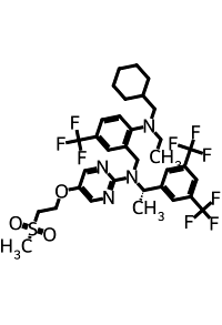 CCN(CC1CCCCC1)c1ccc(C(F)(F)F)cc1CN(c1ncc(OCCS(C)(=O)=O)cn1)[C@@H](C)c1cc(C(F)(F)F)cc(C(F)(F)F)c1